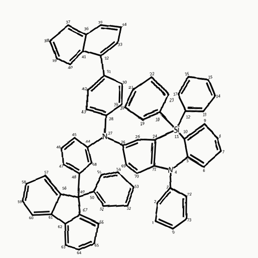 c1ccc(N2c3ccccc3[Si](c3ccccc3)(c3ccccc3)c3cc(N(c4ccc(-c5cccc6ccccc56)cc4)c4cccc(C5(c6ccccc6)c6ccccc6-c6ccccc65)c4)ccc32)cc1